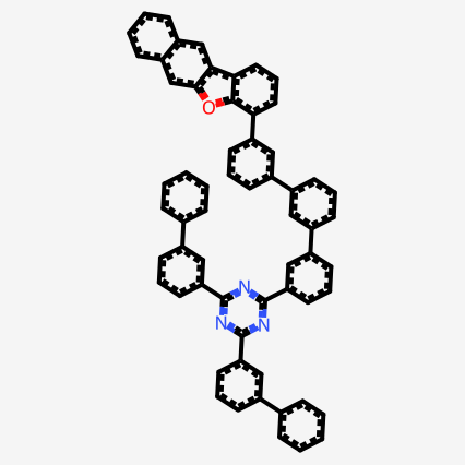 c1ccc(-c2cccc(-c3nc(-c4cccc(-c5ccccc5)c4)nc(-c4cccc(-c5cccc(-c6cccc(-c7cccc8c7oc7cc9ccccc9cc78)c6)c5)c4)n3)c2)cc1